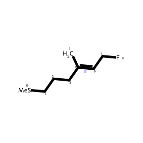 CSCCC/C(C)=C/CF